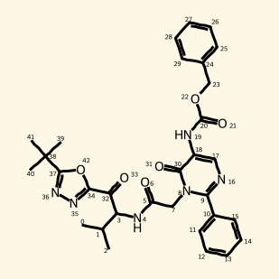 CC(C)C(NC(=O)Cn1c(-c2ccccc2)ncc(NC(=O)OCc2ccccc2)c1=O)C(=O)c1nnc(C(C)(C)C)o1